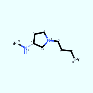 CC(C)CCCN1CC[C@@H](NC(C)C)C1